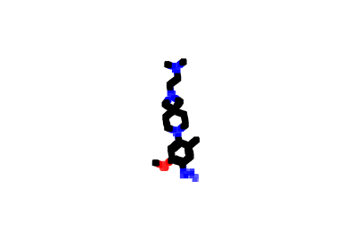 COc1cc(N2CCC3(CC2)CN(CCN(C)C)C3)c(C)cc1N